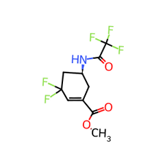 COC(=O)C1=CC(F)(F)C[C@@H](NC(=O)C(F)(F)F)C1